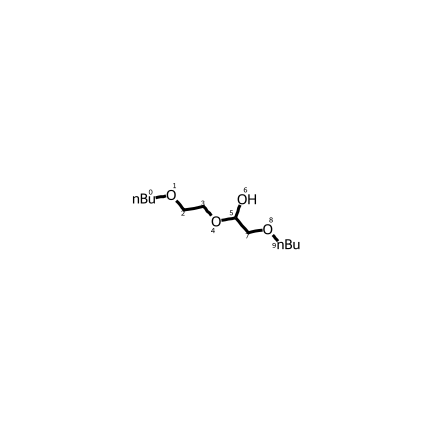 CCCCOCCOC(O)COCCCC